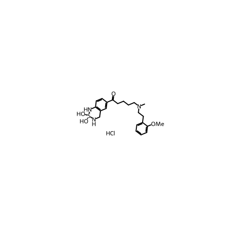 COc1ccccc1CCN(C)CCCCC(=O)c1ccc2c(c1)CNS(O)(O)N2.Cl